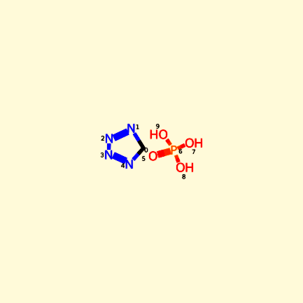 C1N=NN=N1.O=P(O)(O)O